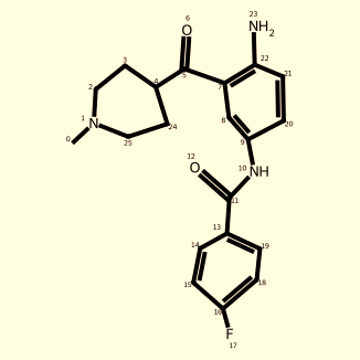 CN1CCC(C(=O)c2cc(NC(=O)c3ccc(F)cc3)ccc2N)CC1